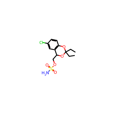 CCC1(CC)Oc2ccc(Cl)cc2C(COS(N)(=O)=O)O1